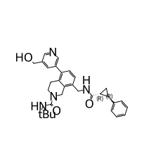 CC(C)(C)NC(=O)N1CCc2c(-c3cncc(CO)c3)ccc(CNC(=O)[C@@H]3C[C@H]3c3ccccc3)c2C1